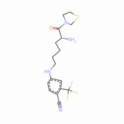 N#Cc1ccc(NCCCC[C@H](N)C(=O)N2CCSC2)cc1C(F)(F)F